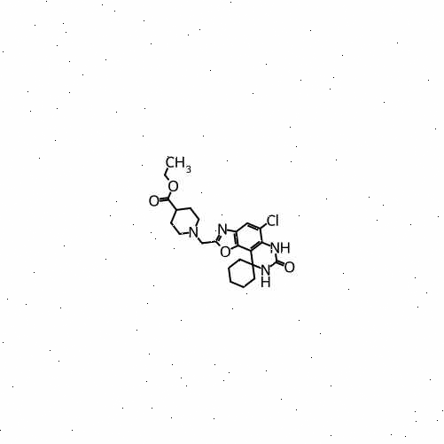 CCOC(=O)C1CCN(Cc2nc3cc(Cl)c4c(c3o2)C2(CCCCC2)NC(=O)N4)CC1